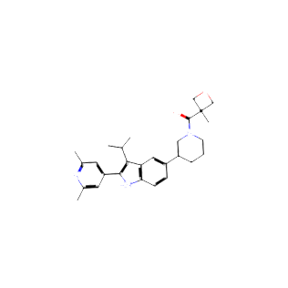 Cc1cc(-c2[nH]c3ccc(C4CCCN(C(=O)C5(C)COC5)C4)cc3c2C(C)C)cc(C)n1